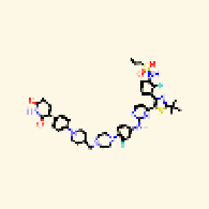 CCCS(=O)(=O)Nc1cccc(-c2nc(C(C)(C)C)sc2-c2ccnc(Nc3ccc(N4CCN(CC5CCN(c6ccc([C@@H]7CCC(=O)NC7=O)cc6)CC5)CC4)c(F)c3)n2)c1F